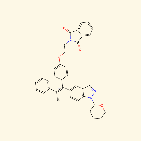 CC/C(=C(\c1ccc2c(cnn2C2CCCCO2)c1)C1C=CC(OCCN2C(=O)c3ccccc3C2=O)=CC1)c1ccccc1